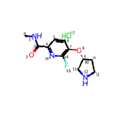 CNC(=O)c1ccc(O[C@@H]2CCNC2)c(F)n1.Cl